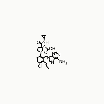 CCSc1c(Cl)ccc(N2CCC(NC(=O)O)(C(=O)NC3CC3)C2)c1Cn1cnc2c(N)ncnc21